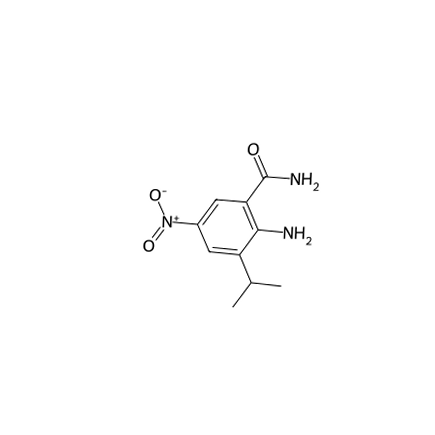 CC(C)c1cc([N+](=O)[O-])cc(C(N)=O)c1N